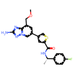 COCc1cc(-c2csc(C(=O)N[C@@H](C)c3ccc(F)cc3)c2)cn2nc(N)nc12